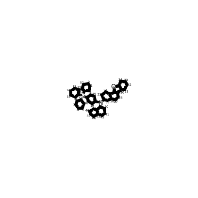 c1ccc([Si](c2ccccc2)(c2ccccc2)c2ccc(N(c3ccc4c(ccc5c6ccccc6oc45)c3)c3cccc4ccccc34)cc2)cc1